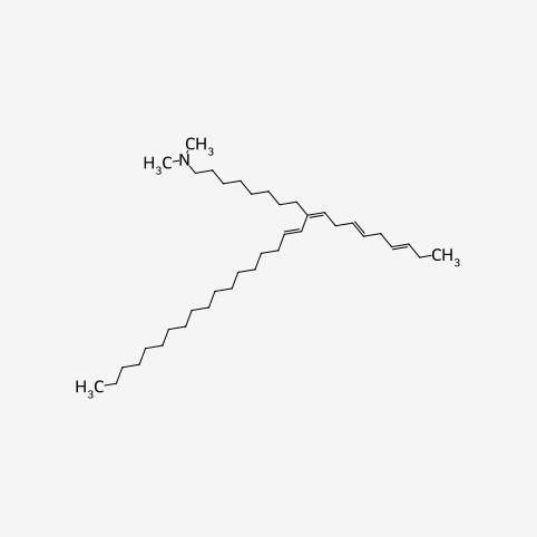 CCC=CCC=CCC=C(C=CCCCCCCCCCCCCCCCC)CCCCCCCCN(C)C